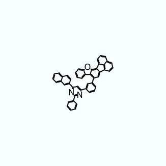 c1ccc(-c2nc(-c3cccc(-c4cc5c(c6oc7ccccc7c46)-c4cccc6cccc-5c46)c3)cc(-c3ccc4ccccc4c3)n2)cc1